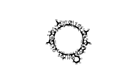 CC[C@H]1NC(=O)[C@@H]([C@@H]2OCC=CC[C@H]2C)N(C)C(=O)[C@@H](C(C)C)N(C)C(=O)[C@@H](CC(C)C)N(C)C(=O)[C@@H](CC(C)C)N(C)C(=O)[C@H](C)NC(=O)[C@@H](C)NC(=O)[C@@H](CC(C)C)N(C)C(=O)[C@@H](C(C)C)NC(=O)[C@H](CC(C)C)N(C)C(=O)CN(C)C1=O